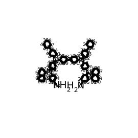 Nc1ccc(N(c2ccc(N(c3ccc(-c4ccccc4)cc3)c3ccc(-c4ccc(N(c5ccc(-c6ccccc6)cc5)c5ccc(N(c6ccc(N)cc6)c6cccc7ccccc67)cc5)cc4)cc3)cc2)c2cccc3ccccc23)cc1